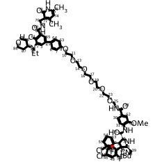 CCN(c1cc(-c2ccc(OCCOCCOCCOCCOCCOCNC(=O)c3ccc(NC(O)[C@@H]4N[C@@H](CC(C)(C)C)[C@](C#N)(c5ccc(Cl)cc5F)[C@H]4c4cccc(Cl)c4F)c(OC)c3)cc2)cc(C(=O)NCc2c(C)cc(C)[nH]c2=O)c1C)C1CCOCC1